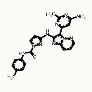 Cc1ccc(NC(=O)n2ccc(Nc3nc4cccnn4c3-c3cc(N)nc(C)n3)n2)cc1